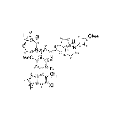 COc1nc(-c2c(C)c(Cl)cc3[nH]ncc23)c(F)c2nc(OC[C@]34CCC[C@H]3N(C3CC(OC)C3)CCC4)nc(N3CCOC[C@@](C)(O)C3)c12